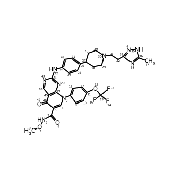 CONC(=O)c1cn(-c2ccc(OC(F)(F)F)cc2)c2nc(Nc3ccc(C4CCN(CCc5n[nH]c(C)n5)CC4)cc3)ncc2c1=O